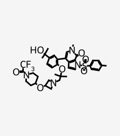 Cc1ccc(S(=O)(=O)n2ccc3c(-c4cc(C(C)(C)O)ccc4OC(C)(C)CN4CC(OC5CCN(C(=O)C(F)(F)F)CC5)C4)cn(C)c(=O)c32)cc1